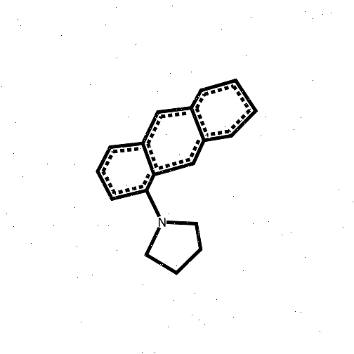 c1ccc2cc3c(N4CCCC4)cccc3cc2c1